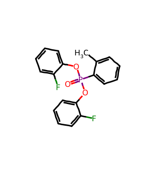 Cc1ccccc1P(=O)(Oc1ccccc1F)Oc1ccccc1F